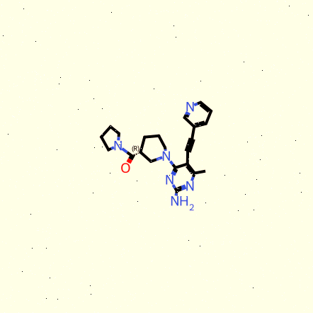 Cc1nc(N)nc(N2CCC[C@@H](C(=O)N3CCCC3)C2)c1C#Cc1cccnc1